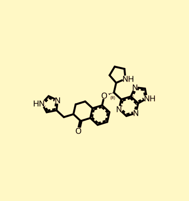 O=C1c2cccc(O[C@@H](c3ncnc4[nH]cnc34)C3CCCN3)c2CCC1Cc1c[nH]cn1